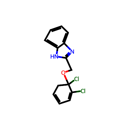 ClC1=CC=CCC1(Cl)OCc1nc2ccccc2[nH]1